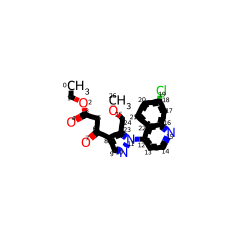 CCOC(=O)CC(=O)c1cnn(-c2ccnc3cc(Cl)ccc23)c1COC